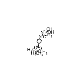 CC(C)(O)CN1CCN(c2ccc(B3OC(C)(C)C(C)(C)O3)cc2)C1=O